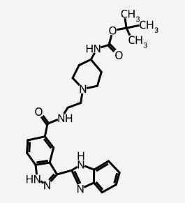 CC(C)(C)OC(=O)NC1CCN(CCNC(=O)c2ccc3[nH]nc(-c4nc5ccccc5[nH]4)c3c2)CC1